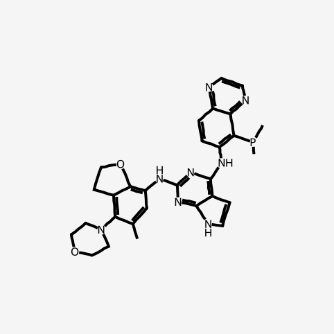 Cc1cc(Nc2nc(Nc3ccc4nccnc4c3P(C)C)c3cc[nH]c3n2)c2c(c1N1CCOCC1)CCO2